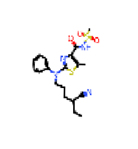 CCC(C#N)CCCN(c1ccccc1)c1nc(C(=O)NS(C)(=O)=O)c(C)s1